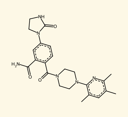 Cc1cc(C)c(N2CCN(C(=O)c3ccc(N4CCNC4=O)cc3C(N)=O)CC2)nc1C